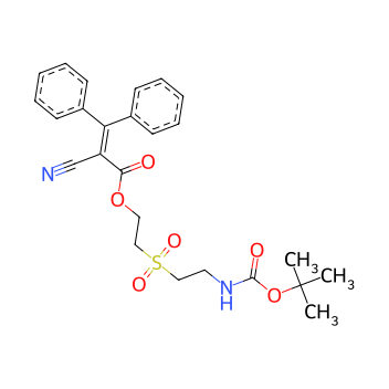 CC(C)(C)OC(=O)NCCS(=O)(=O)CCOC(=O)C(C#N)=C(c1ccccc1)c1ccccc1